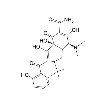 CN(C)[C@@H]1C(O)=C(C(N)=O)C(=O)[C@@]2(O)C(O)=C3C(=O)c4c(O)cccc4C(C)(C)C3CC12